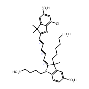 CC1(C)C(/C=C/C=C/C=C2/N(CCCCS(=O)(=O)O)c3ccc(S(=O)(=O)O)cc3C2(C)CCCCCC(=O)O)=Nc2c(Cl)cc(S(=O)(=O)O)cc21